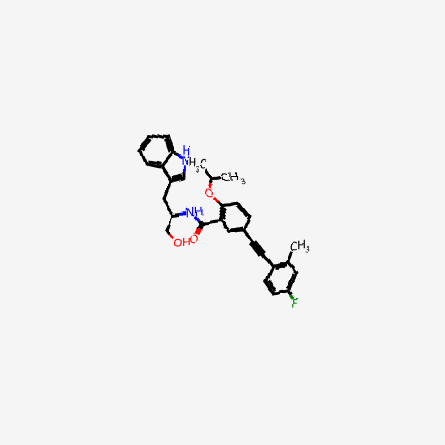 Cc1cc(F)ccc1C#Cc1ccc(OC(C)C)c(C(=O)N[C@@H](CO)Cc2c[nH]c3ccccc23)c1